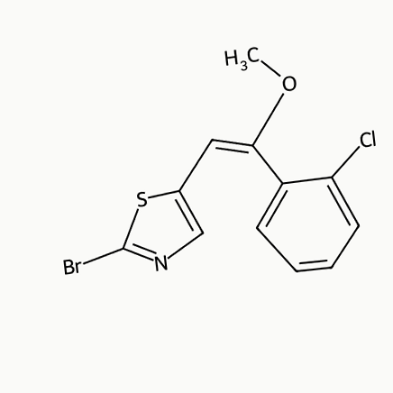 CO/C(=C/c1cnc(Br)s1)c1ccccc1Cl